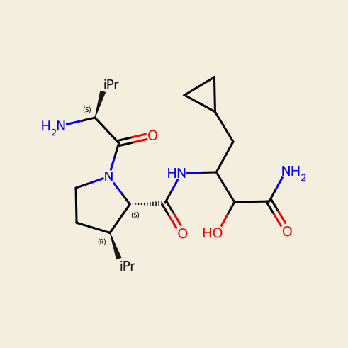 CC(C)[C@H](N)C(=O)N1CC[C@H](C(C)C)[C@H]1C(=O)NC(CC1CC1)C(O)C(N)=O